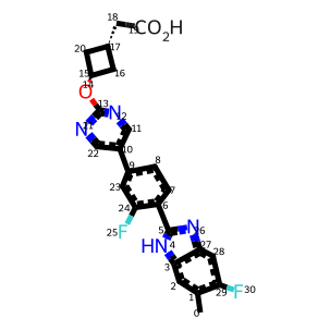 Cc1cc2[nH]c(-c3ccc(-c4cnc(O[C@H]5C[C@@H](CC(=O)O)C5)nc4)cc3F)nc2cc1F